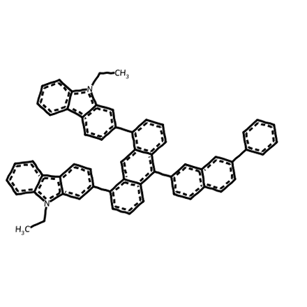 CCn1c2ccccc2c2ccc(-c3cccc4c(-c5ccc6ccc(-c7ccccc7)cc6c5)c5cccc(-c6ccc7c8ccccc8n(CC)c7c6)c5cc34)cc21